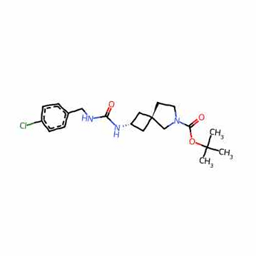 CC(C)(C)OC(=O)N1CC[C@]2(C1)C[C@@H](NC(=O)NCc1ccc(Cl)cc1)C2